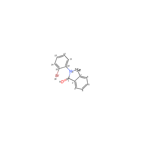 O=c1c2ccccc2[se]n1-c1ccccc1Br